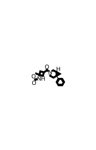 O=C1NC2(CO1)CC(C(=O)N1CC[C@@]3(c4ccccc4)C[C@H]3C1)C2